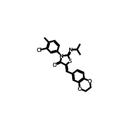 Cc1ccc(N2C(=O)/C(=C/c3ccc4c(c3)OCCO4)S/C2=N\C(C)C)cc1Cl